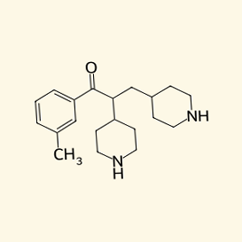 Cc1cccc(C(=O)C(CC2CCNCC2)C2CCNCC2)c1